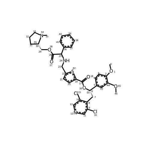 COc1ccc([C@H](Cc2c(Cl)cncc2Cl)OC(=O)c2ccc(CNC(C(=O)OC[C@@H]3CCCN3C)c3ccccc3)s2)cc1OC